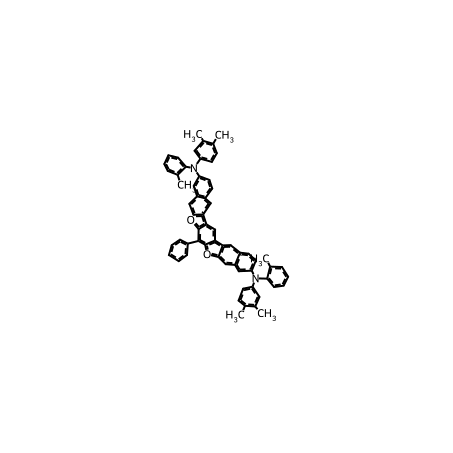 Cc1ccc(N(c2ccc3cc4c(cc3c2)oc2c(-c3ccccc3)c3oc5cc6cc(N(c7ccc(C)c(C)c7)c7ccccc7C)ccc6cc5c3cc24)c2ccccc2C)cc1C